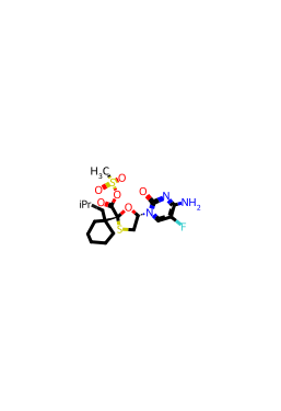 CC(C)CC1([C@@]2(C(=O)OS(C)(=O)=O)O[C@H](n3cc(F)c(N)nc3=O)CS2)CCCCC1